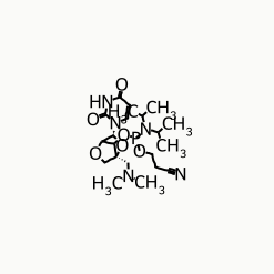 CC(C)N(C(C)C)P(OCCC#N)OC1C2OC[C@]1(CN(C)C)O[C@H]2n1ccc(=O)[nH]c1=O